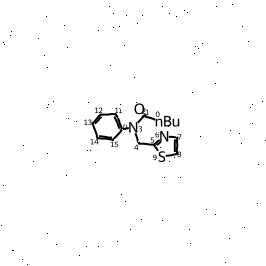 CCCCC(=O)N(Cc1nccs1)c1ccccc1